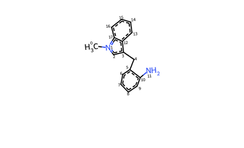 Cn1cc(Cc2ccccc2N)c2ccccc21